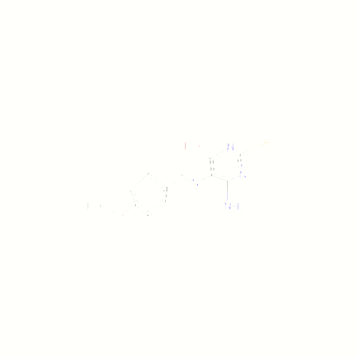 COc1ccc(/C=N/c2c(N)nc(S)nc2O)cc1